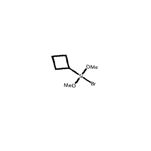 CO[Si](Br)(OC)C1CCC1